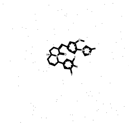 COc1cc(/C=C2/CC[C@@H]3CC=CC(c4cc(F)c(F)c(F)c4)N3C2=O)ccc1-n1cnc(C)c1